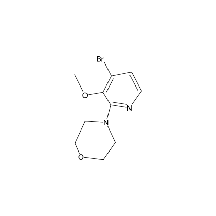 COc1c(Br)ccnc1N1CCOCC1